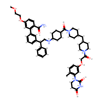 COCCOc1ccc(C(N)=O)c(-c2cccc(C(CNC3CCC(C(=O)N4CCC(CC5CCN(C(=O)COc6ccc(C)c(N7CCC(=O)NC7=O)c6)CC5)CC4)CC3)c3ccccc3)c2)c1